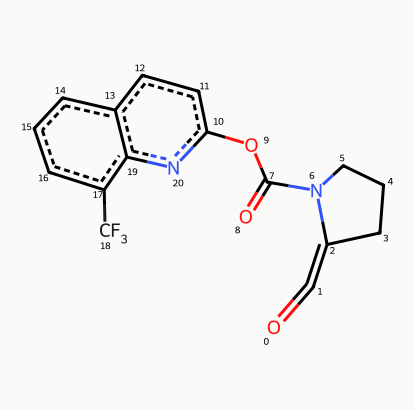 O=C=C1CCCN1C(=O)Oc1ccc2cccc(C(F)(F)F)c2n1